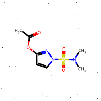 CC(=O)Oc1ccn(S(=O)(=O)N(C)C)n1